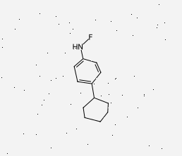 FNc1ccc(C2CCCCC2)cc1